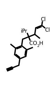 C#CCc1cc(C)c(CC(C(=O)O)(C(C)C)C(C)C=C(Cl)Cl)c(C)c1